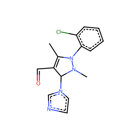 CC1=C(C=O)C(n2ccnc2)N(C)N1c1ccccc1Cl